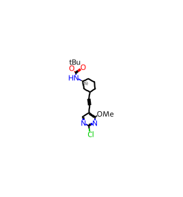 COc1nc(Cl)ncc1C#CC1CCC[C@H](NC(=O)OC(C)(C)C)C1